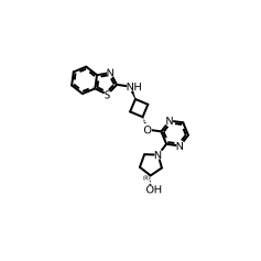 O[C@@H]1CCN(c2nccnc2O[C@H]2C[C@H](Nc3nc4ccccc4s3)C2)C1